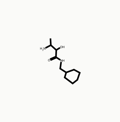 CC(N)C(O)C(=O)NCC1CCCCC1